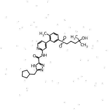 Cc1ccc(S(=O)(=O)CCCC(C)(C)O)cc1-c1ccnc(NC(=O)c2nnc(CC3CCCC3)[nH]2)c1